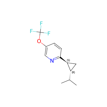 CC(C)[C@H]1C[C@@H]1c1ccc(OC(F)(F)F)cn1